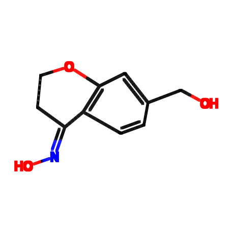 OCc1ccc2c(c1)OCC/C2=N\O